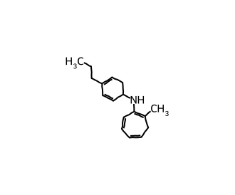 CCCC1=CCC(NC2=C(C)CC=CC=C2)C=C1